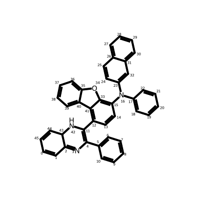 C1=CC2=NC(c3ccccc3)=C(c3ccc(N(c4ccccc4)c4ccc5ccccc5c4)c4oc5ccccc5c34)NC2C=C1